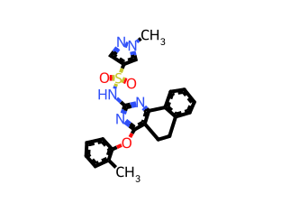 Cc1ccccc1Oc1nc(NS(=O)(=O)c2cnn(C)c2)nc2c1CCc1ccccc1-2